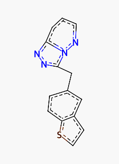 c1cnn2c(Cc3ccc4sccc4c3)nnc2c1